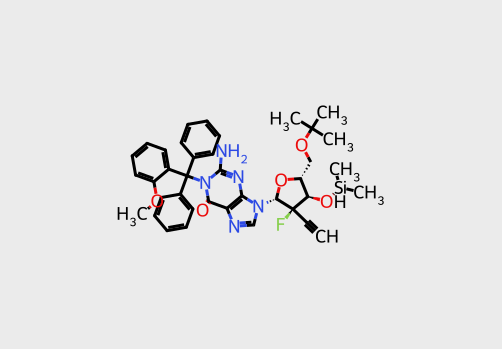 C#C[C@@]1(F)[C@H](O[SiH](C)C)[C@@H](COC(C)(C)C)O[C@H]1n1cnc2c(=O)n(C(c3ccccc3)(c3ccccc3)c3ccccc3OC)c(N)nc21